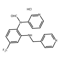 Cl.O=CN(c1cccnc1)c1ccc(C(F)(F)F)cc1NCc1ccncc1